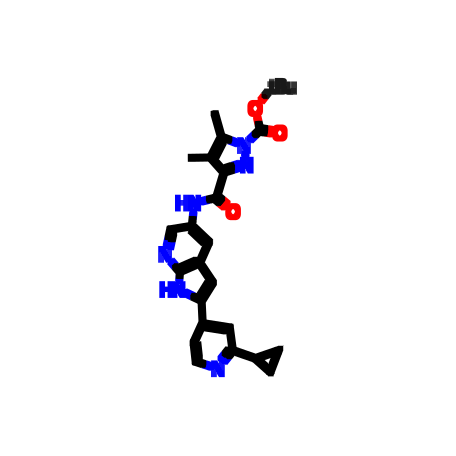 Cc1c(C(=O)Nc2cnc3[nH]c(-c4ccnc(C5CC5)c4)cc3c2)nn(C(=O)OC(C)(C)C)c1C